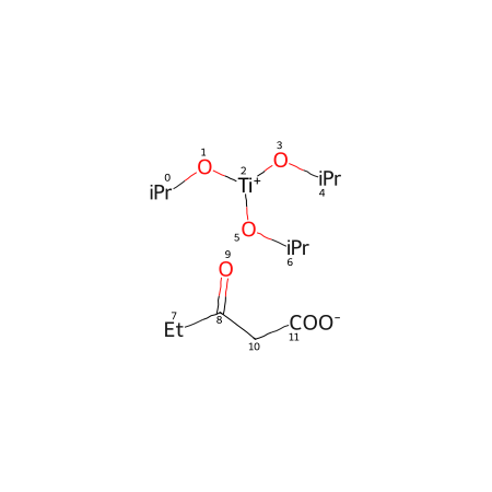 CC(C)[O][Ti+]([O]C(C)C)[O]C(C)C.CCC(=O)CC(=O)[O-]